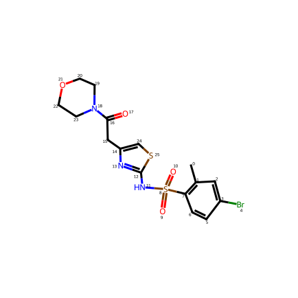 Cc1cc(Br)ccc1S(=O)(=O)Nc1nc(CC(=O)N2CCOCC2)cs1